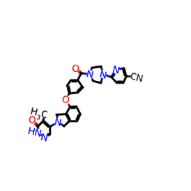 Cc1c(N2Cc3cccc(Oc4ccc(C(=O)N5CCN(c6ccc(C#N)cn6)CC5)cc4)c3C2)cn[nH]c1=O